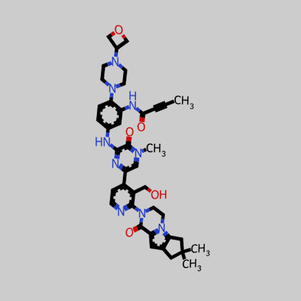 CC#CC(=O)Nc1cc(Nc2nc(-c3ccnc(N4CCn5c(cc6c5CC(C)(C)C6)C4=O)c3CO)cn(C)c2=O)ccc1N1CCN(C2COC2)CC1